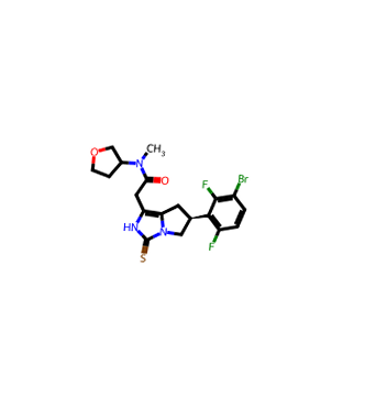 CN(C(=O)Cc1[nH]c(=S)n2c1C[C@@H](c1c(F)ccc(Br)c1F)C2)C1CCOC1